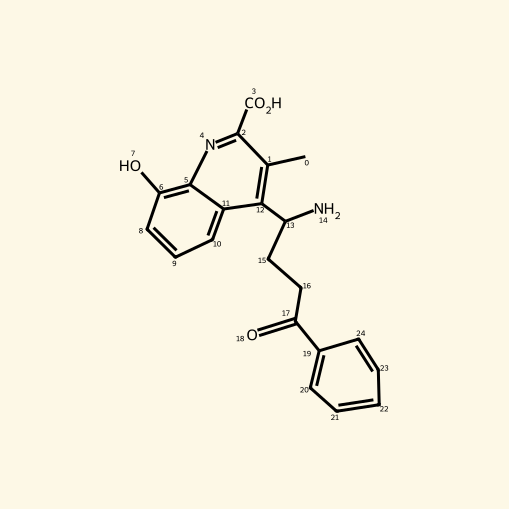 Cc1c(C(=O)O)nc2c(O)cccc2c1C(N)CCC(=O)c1ccccc1